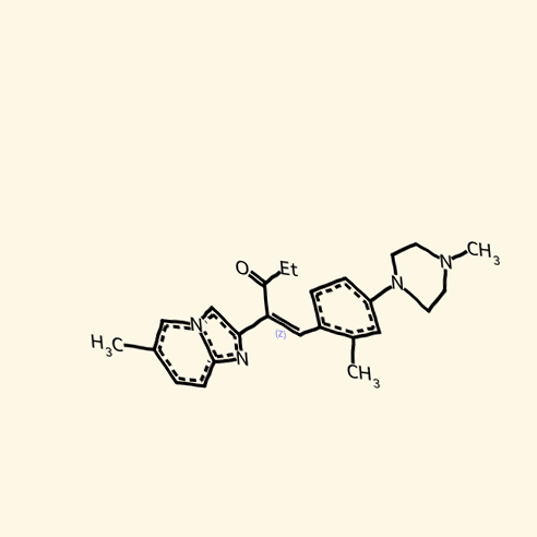 CCC(=O)/C(=C\c1ccc(N2CCN(C)CC2)cc1C)c1cn2cc(C)ccc2n1